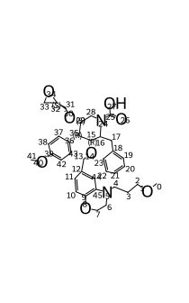 COCCCN1CCOc2ccc(CO[C@H]3C(Cc4ccccc4)N(C(=O)O)C[C@@H](OC[C@H]4CO4)[C@H]3c3ccc(OC)cc3)cc21